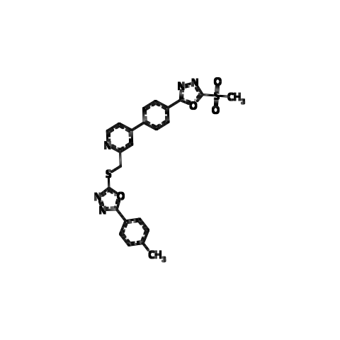 Cc1ccc(-c2nnc(SCc3cc(-c4ccc(-c5nnc(S(C)(=O)=O)o5)cc4)ccn3)o2)cc1